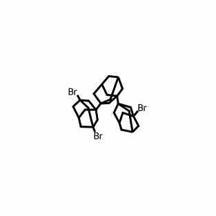 BrC12CC3CC(C1)CC(C14CC5CC(C1)CC(C16CC7CC(Br)(CC(Br)(C7)C1)C6)(C5)C4)(C3)C2